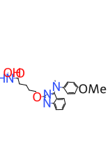 COc1ccc(N(C)c2nc(OCCCCC(=O)NO)nc3ccccc23)cc1